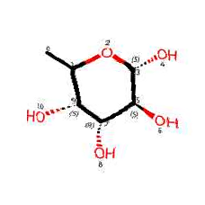 CC1O[C@H](O)[C@@H](O)[C@H](O)[C@@H]1O